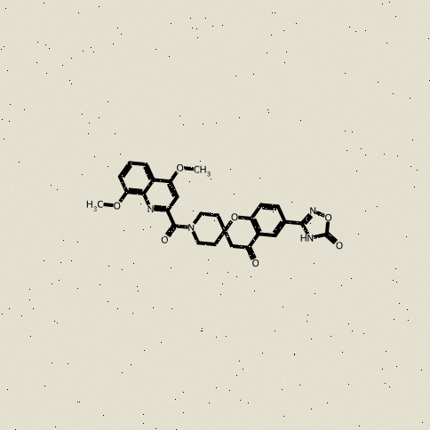 COc1cc(C(=O)N2CCC3(CC2)CC(=O)c2cc(-c4noc(=O)[nH]4)ccc2O3)nc2c(OC)cccc12